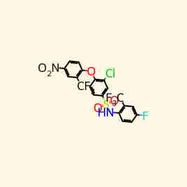 O=[N+]([O-])c1ccc(Oc2ccc(S(=O)(=O)Nc3ccc(F)cc3C(F)(F)F)cc2Cl)c(C(F)(F)F)c1